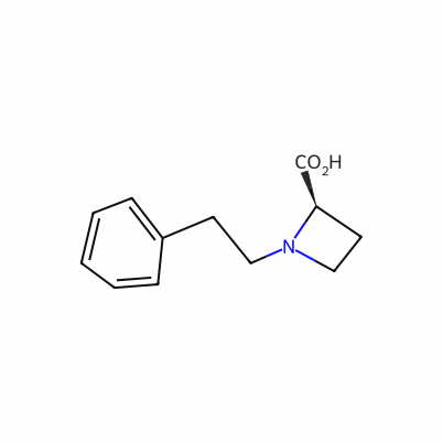 O=C(O)[C@H]1CCN1CCc1ccccc1